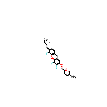 C=CCCc1ccc2c(c1F)Oc1c(cc(OCC3CCC(CCC)CO3)c(F)c1F)C2